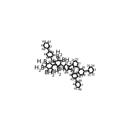 Bc1c(B)c(B)c2c(c1B)c1c(B)c(-c3ccc4c(c3)c3cccc(-c5cccc(-c6ccccc6)c5)c3n4-c3ccc(-c4ccccc4)cc3)c(B)c(B)c1n2-c1ccc(-c2ccccc2)cc1